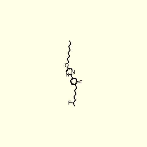 CCCCCCCCOc1cnc(-c2ccc(CCCCCC(C)F)c(F)c2)nc1